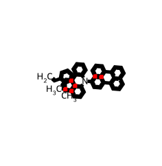 C=Cc1cccc2c1C(C)(C)c1cccc(N(c3ccc(-c4cccc5cccc(-c6ccccc6)c45)cc3)c3ccccc3-c3ccccc3)c1-2